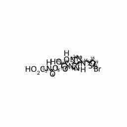 O=C(O)CNC(=O)OC[C@H]1O[C@@H](n2cnc3c(NCc4ccc(Br)s4)ncnc32)C(O)[C@H]1O